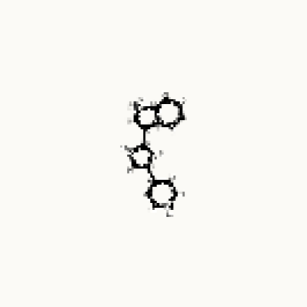 c1ccc2c(-c3nc(-c4ccncc4)cs3)c[nH]c2c1